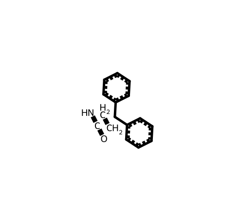 C=C.N=C=O.c1ccc(Cc2ccccc2)cc1